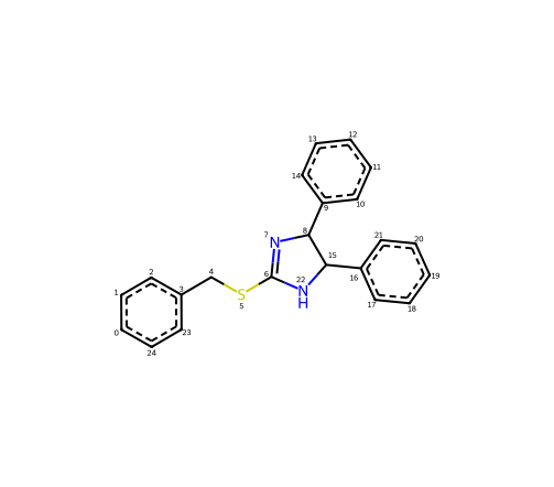 c1ccc(CSC2=NC(c3ccccc3)C(c3ccccc3)N2)cc1